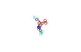 COC(=O)c1ccc(S(=O)(=O)Cc2ccn(-c3ccc(C(F)(F)F)cc3)n2)c(C#Cc2ccc(F)cc2)c1